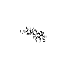 O=C(O)c1cc(N2CCC(c3n[nH]c4c3[C@@H](C(F)(F)F)[C@@H](O)C(=O)N4)CC2)ncc1C(F)(F)F